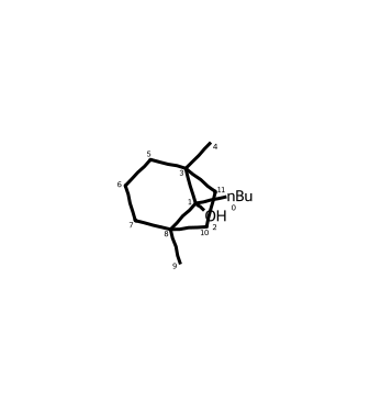 CCCCC1(O)C2(C)CCCC1(C)CC2